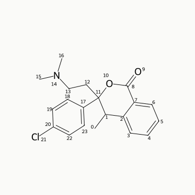 CC1c2ccccc2C(=O)OC1(CCN(C)C)c1ccc(Cl)cc1